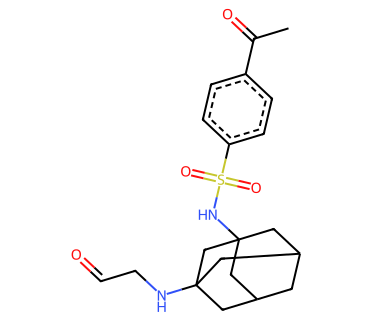 CC(=O)c1ccc(S(=O)(=O)NC23CC4CC(CC(NCC=O)(C4)C2)C3)cc1